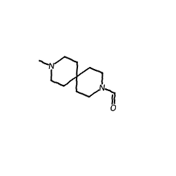 CN1CCC2(CC1)CCN(C=O)CC2